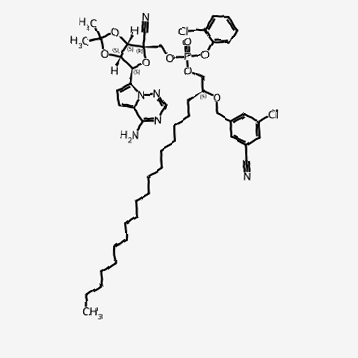 CCCCCCCCCCCCCCCCCC[C@@H](COP(=O)(OC[C@@]1(C#N)O[C@@H](c2ccc3c(N)ncnn23)[C@@H]2OC(C)(C)O[C@@H]21)Oc1ccccc1Cl)OCc1cc(Cl)cc(C#N)c1